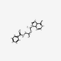 CC1=NC=NC2C1N=CN2[C@@H](C)OC(C)COC(=O)c1ccccc1